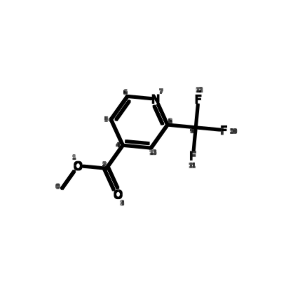 COC(=O)c1ccnc(C(F)(F)F)c1